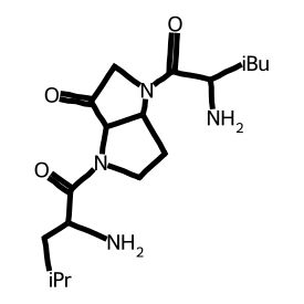 CCC(C)C(N)C(=O)N1CC(=O)C2C1CCN2C(=O)C(N)CC(C)C